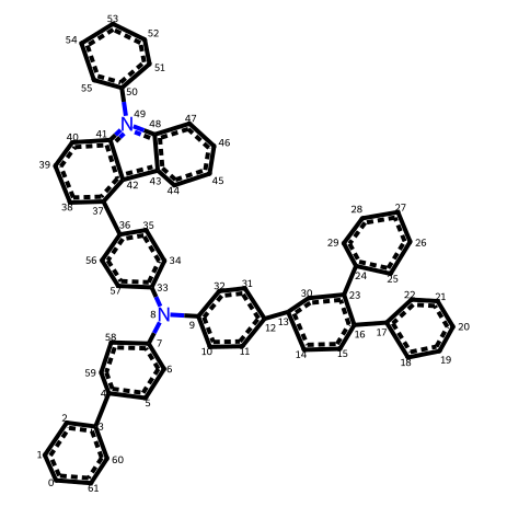 c1ccc(-c2ccc(N(c3ccc(-c4ccc(-c5ccccc5)c(-c5ccccc5)c4)cc3)c3ccc(-c4cccc5c4c4ccccc4n5-c4ccccc4)cc3)cc2)cc1